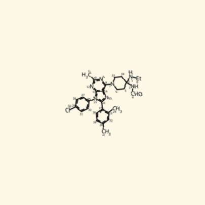 CCNC1(NC=O)CCN(c2nc(C)nc3c2nc(-c2ccc(C)cc2C)n3-c2ccc(Cl)cc2)CC1